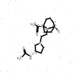 CC(=O)N[C@H]1CCN(CCN2[C@@H]3C[CH]C[C@@]2(C(N)=O)CC3)C1